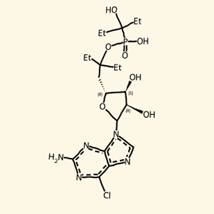 CCC(CC)(C[C@H]1OC(n2cnc3c(Cl)nc(N)nc32)[C@H](O)[C@@H]1O)OP(=O)(O)C(O)(CC)CC